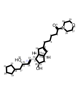 O=C(CCCCC1=C[C@H]2C[C@@H](O)[C@H](/C=C/[C@@H](O)CC3CCCC3)[C@H]2C1)N1CCOCC1